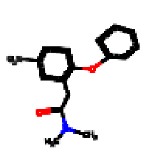 CN(C)C(=O)Cc1cc([N+](=O)[O-])ccc1Oc1ccccc1